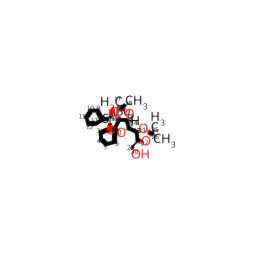 CCCC[Si](c1ccccc1)(c1ccccc1)[C@]12OC(C)(C)O[C@H]1[C@H]([C@@H]1OC(C)(C)O[C@H]1CO)OC2=O